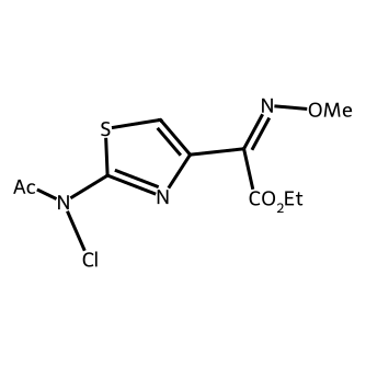 CCOC(=O)/C(=N\OC)c1csc(N(Cl)C(C)=O)n1